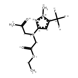 CCOC(=O)CN(CC(C)=O)c1cc(C(F)(F)F)n(C)n1